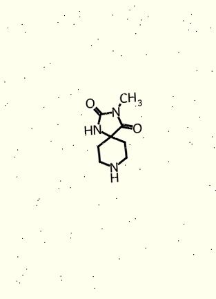 CN1C(=O)NC2(CCNCC2)C1=O